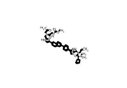 CCCN(Cc1ncc(-c2ccc(-c3ccc4cc(-c5c[nH]c(CN(CC(C)=O)C(=O)CNC(=O)OC)n5)ccc4c3)cc2)[nH]1)C(=O)[C@@H](c1ccccc1)N(C)C